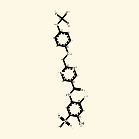 CS(=O)(=O)c1cc(NC(=O)c2cnc(COc3ccc(SC(F)(F)F)cc3)nc2)c(F)cc1O